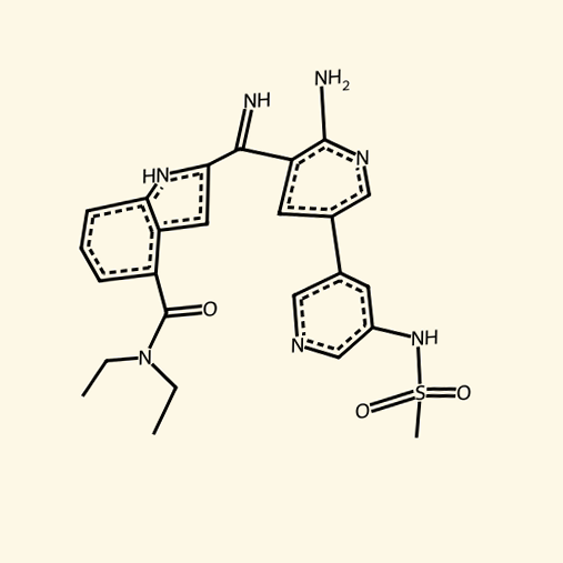 CCN(CC)C(=O)c1cccc2[nH]c(C(=N)c3cc(-c4cncc(NS(C)(=O)=O)c4)cnc3N)cc12